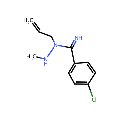 C=CCN(NC)C(=N)c1ccc(Cl)cc1